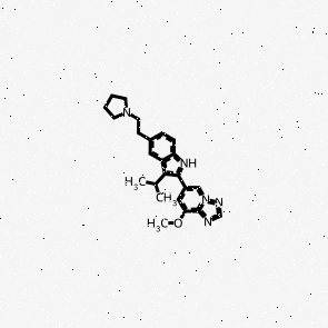 COc1cc(-c2[nH]c3ccc(CCN4CCCC4)cc3c2C(C)C)cn2ncnc12